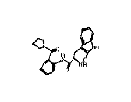 O=C(Nc1ccccc1C(=O)N1CCCC1)[C@H]1Cc2c([nH]c3ccccc23)CN1